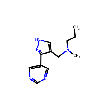 CCCN(C)Cc1c[nH]nc1-c1cncnc1